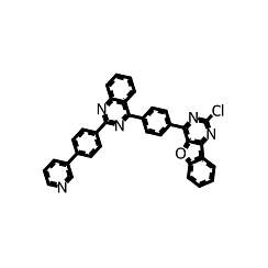 Clc1nc(-c2ccc(-c3nc(-c4ccc(-c5cccnc5)cc4)nc4ccccc34)cc2)c2oc3ccccc3c2n1